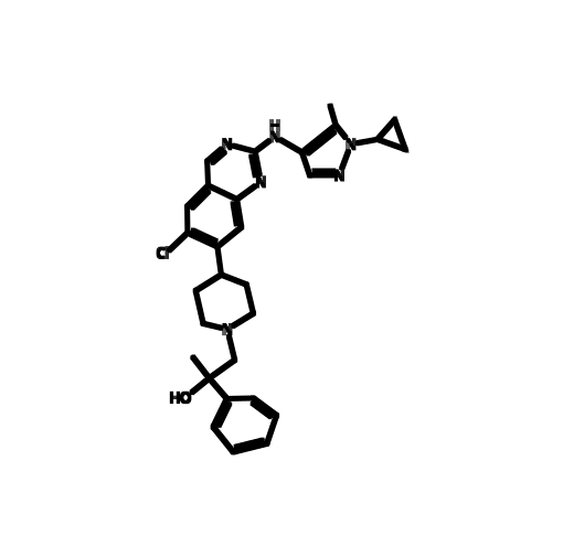 Cc1c(Nc2ncc3cc(Cl)c(C4CCN(CC(C)(O)c5ccccc5)CC4)cc3n2)cnn1C1CC1